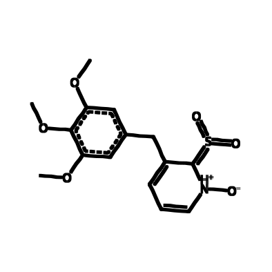 COc1cc(CC2=CC=C[NH+]([O-])C2=S(=O)=O)cc(OC)c1OC